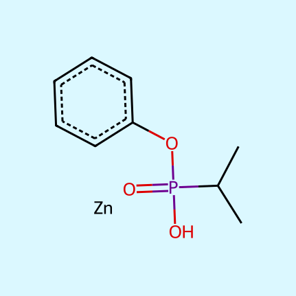 CC(C)P(=O)(O)Oc1ccccc1.[Zn]